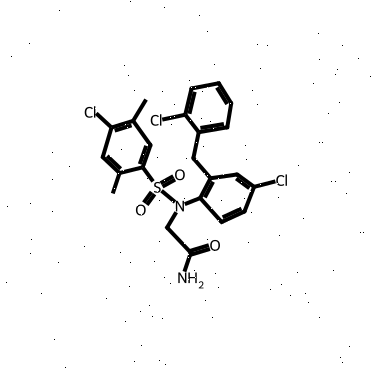 Cc1cc(S(=O)(=O)N(CC(N)=O)c2ccc(Cl)cc2Cc2ccccc2Cl)c(C)cc1Cl